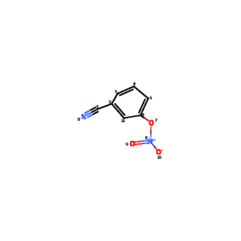 N#Cc1cccc(O[N+](=O)[O-])c1